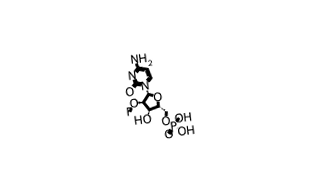 Nc1ccn([C@@H]2O[C@H](COP(=O)(O)O)[C@H](O)[C@H]2OF)c(=O)n1